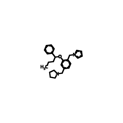 CCCC(Oc1cc(CN2CCCC2)ccc1Cn1cccc1)c1ccccc1